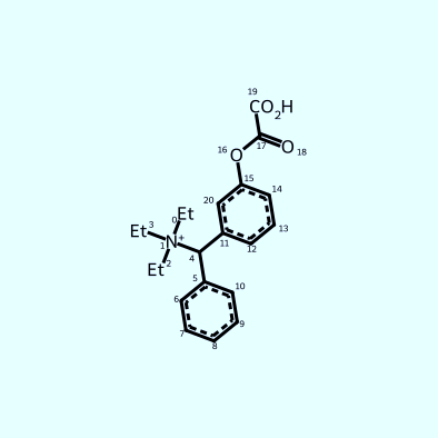 CC[N+](CC)(CC)C(c1ccccc1)c1cccc(OC(=O)C(=O)O)c1